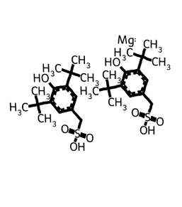 CC(C)(C)c1cc(CS(=O)(=O)O)cc(C(C)(C)C)c1O.CC(C)(C)c1cc(CS(=O)(=O)O)cc(C(C)(C)C)c1O.[Mg]